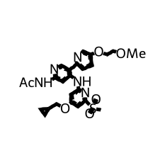 COCCOc1ccc(-c2cnc(NC(C)=O)cc2Nc2cc(OCC3CC3)cc(S(C)(=O)=O)n2)nc1